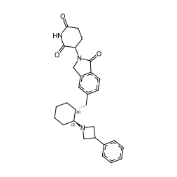 O=C1CCC(N2Cc3cc(C[C@H]4CCCC[C@@H]4N4CC(c5ccccc5)C4)ccc3C2=O)C(=O)N1